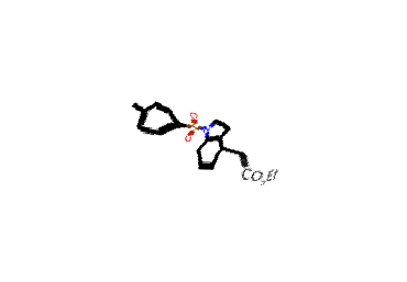 CCOC(=O)CC1CCCc2c1ccn2S(=O)(=O)c1ccc(C)cc1